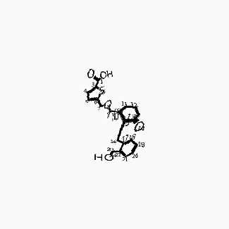 O=C(O)c1ccc(COC[C@H]2CCC(=O)C2Cc2ccccc2CO)s1